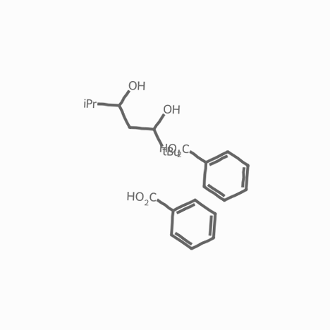 CC(C)C(O)CC(O)C(C)(C)C.O=C(O)c1ccccc1.O=C(O)c1ccccc1